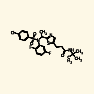 CC(c1ncc(CCC(=O)NC(C)(C)C)s1)N(c1cc(F)ccc1F)S(=O)(=O)c1ccc(Cl)cc1